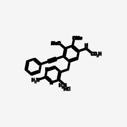 COc1c(NC(=O)O)cc(Cc2cnc(N)nc2N)c(C#Cc2ccccc2)c1OC.Cl